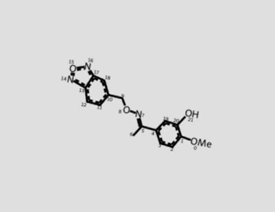 COc1ccc(/C(C)=N/OCc2ccc3nonc3c2)cc1O